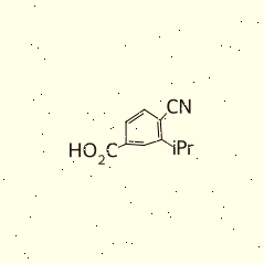 CC(C)c1cc(C(=O)O)ccc1C#N